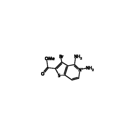 COC(=O)c1sc2cc[n+](N)c(N)c2c1Br